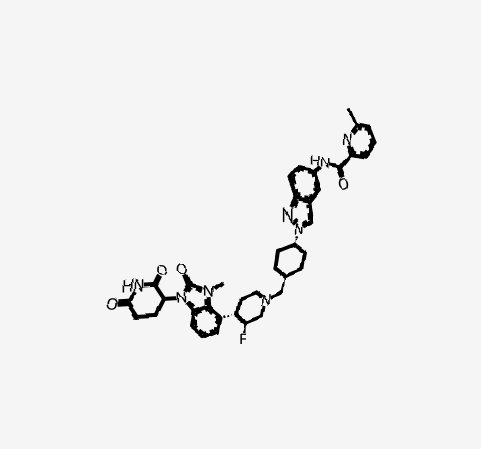 Cc1cccc(C(=O)Nc2ccc3nn([C@H]4CC[C@H](CN5CC[C@@H](c6cccc7c6n(C)c(=O)n7C6CCC(=O)NC6=O)[C@H](F)C5)CC4)cc3c2)n1